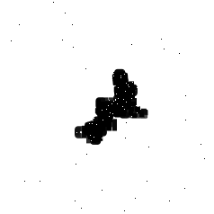 COc1ccc(On2c(C)cc3cc(NS(=O)(=O)c4ccc(Cl)c5nonc45)ccc32)cc1NS(=O)(=O)c1ccc(N2CCOCC2)c2nonc12